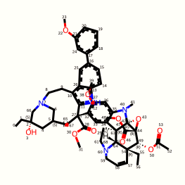 CC[C@]1(O)C[C@H]2CN(CCc3c([nH]c4ccc(-c5cccc(OC)c5)cc34)[C@@](C(=O)OC)(c3cc4c(cc3OC)N(C)[C@@]35O[C@]3(C(=O)OC)[C@H](OC(C)=O)[C@]3(CC)C=CCN6CC[C@]45[C@@H]63)C2)C1